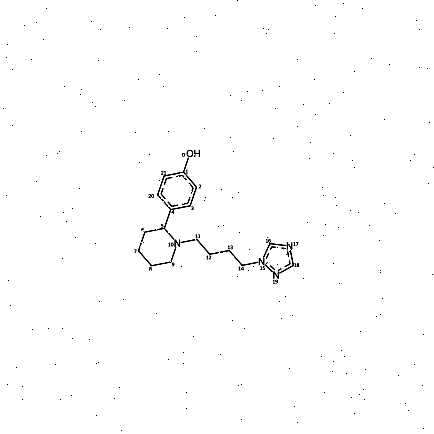 Oc1ccc(C2CCCCN2CCCCn2cncn2)cc1